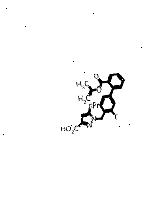 C=C(C)OC(=O)c1ccccc1-c1ccc(Cn2nc(C(=O)O)cc2CCC)c(F)c1